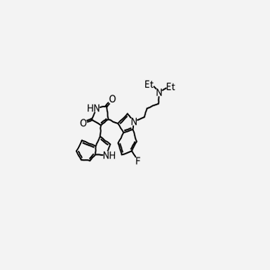 CCN(CC)CCCn1cc(C2=C(c3c[nH]c4ccccc34)C(=O)NC2=O)c2ccc(F)cc21